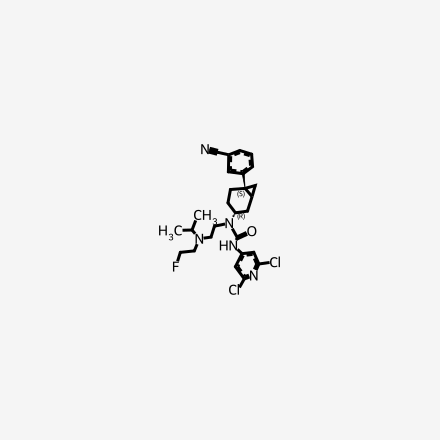 CC(C)N(CCF)CCN(C(=O)Nc1cc(Cl)nc(Cl)c1)[C@@H]1CC[C@]2(c3cccc(C#N)c3)CC2C1